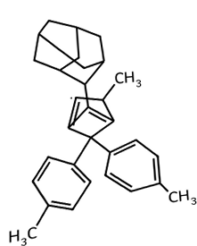 Cc1ccc(C2(c3ccc(C)cc3)C3=[C]C(C)C2=C3C2C3CC4CC(C3)CC2C4)cc1